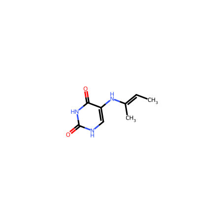 C/C=C(\C)Nc1c[nH]c(=O)[nH]c1=O